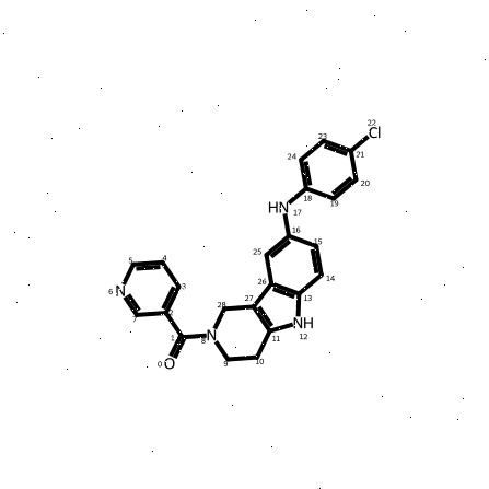 O=C(c1cccnc1)N1CCc2[nH]c3ccc(Nc4ccc(Cl)cc4)cc3c2C1